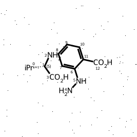 CC(C)[C@H](N)C(=O)O.NNc1ccccc1C(=O)O